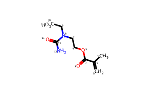 C=C(C)C(=O)OCCN(CC(=O)O)C(N)=O